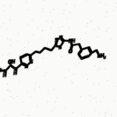 CCNC(O)Nc1ccc(CCCCc2nnc(NC(=O)Cc3cccc(CN)c3)s2)nn1